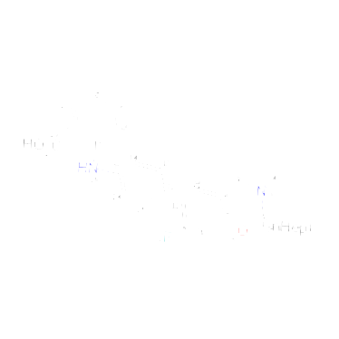 CCCCCCCC(=O)N(C)Cc1ccc(F)c(-c2ccc(Nc3ccccc3C(=O)O)cc2)c1